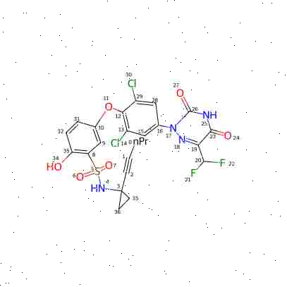 CCCC#CC1(NS(=O)(=O)c2cc(Oc3c(Cl)cc(-n4nc(C(F)F)c(=O)[nH]c4=O)cc3Cl)ccc2O)CC1